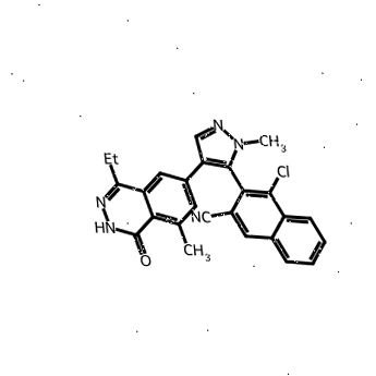 CCc1n[nH]c(=O)c2c(C)cc(-c3cnn(C)c3-c3c(C#N)cc4ccccc4c3Cl)cc12